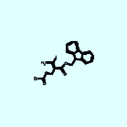 CCC(=O)OCC(C(=O)OCC1c2ccccc2-c2ccccc21)=C(N)I